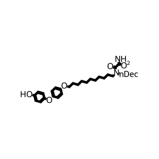 CCCCCCCCCCN(CCCCCCCCCCCOc1ccc(Oc2ccc(O)cc2)cc1)C(=O)C(N)=O